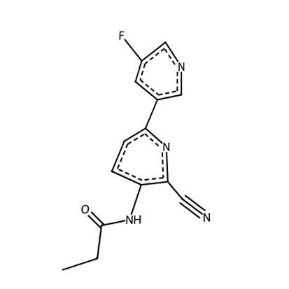 CCC(=O)Nc1ccc(-c2cncc(F)c2)nc1C#N